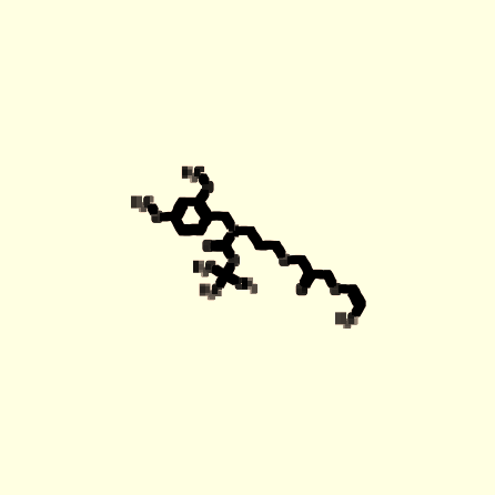 C/C=C\OCC(=O)COCCCN(Cc1ccc(OC)cc1OC)C(=O)OC(C)(C)C